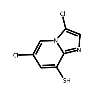 Sc1cc(Cl)cn2c(Cl)cnc12